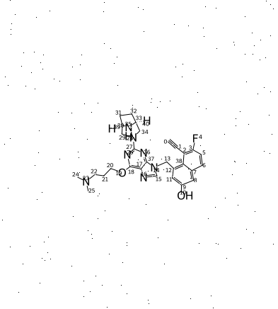 C#Cc1c(F)ccc2cc(O)cc(Cn3cnc4c(OCCCN(C)C)nc(N5C[C@H]6CC[C@@H](C5)N6)nc43)c12